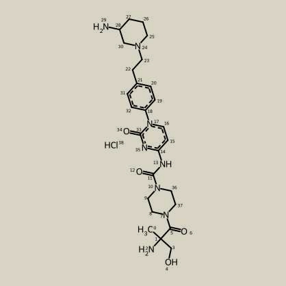 CC(N)(CO)C(=O)N1CCN(C(=O)Nc2ccn(-c3ccc(CCN4CCCC(N)C4)cc3)c(=O)n2)CC1.Cl